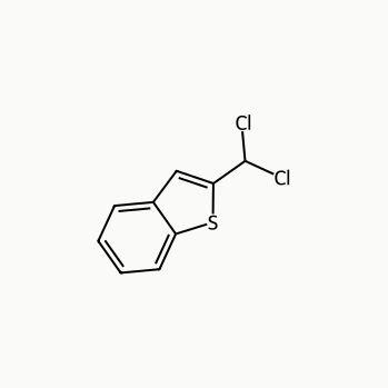 ClC(Cl)c1cc2ccccc2s1